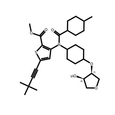 COC(=O)c1sc(C#CC(C)(C)C)cc1N(C(=O)C1CCC(C)CC1)C1CCC(O[C@H]2COC[C@H]2O)CC1